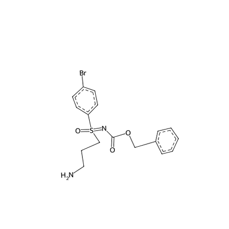 NCCCS(=O)(=NC(=O)OCc1ccccc1)c1ccc(Br)cc1